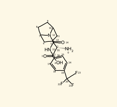 N[C@H](C(=O)O)C1CC2CCC(C1)N2C(=O)Nc1ccc(C(F)(F)F)cc1